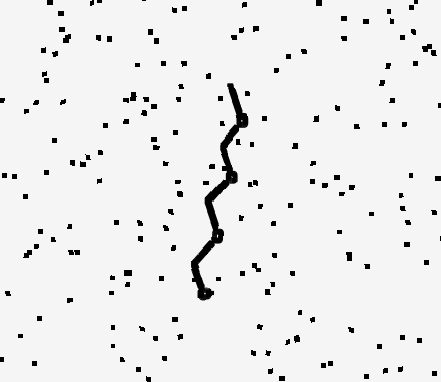 COCOCOC[O]